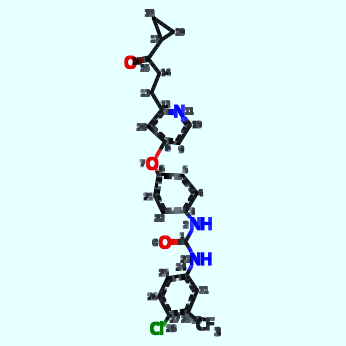 O=C(Nc1ccc(Oc2ccnc(CCC(=O)C3CC3)c2)cc1)Nc1ccc(Cl)c(C(F)(F)F)c1